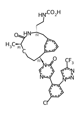 C[C@@H]1CCC[C@H](n2cnc(-c3cc(Cl)ccc3-n3cc(C(F)(F)F)nn3)cc2=O)c2cccc(c2)C[C@@H](CCNC(=O)O)NC1=O